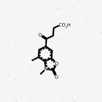 Cc1cc(C(=O)CCC(=O)O)cc2oc(=O)n(C)c12